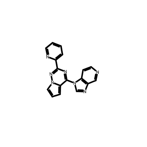 c1ccc(-c2nc(-n3cnc4cnccc43)c3cccn3n2)nc1